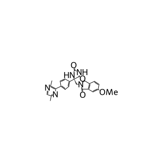 COc1ccc2c(c1)C(=O)N(C[C@@]1(c3ccc(-c4nc(C)cnc4C)cc3)NC(=O)NC1=O)C2